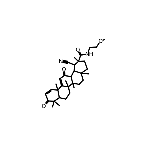 COCCNC(=O)C1(C)CCC2(C)CCC3(C)C(C(=O)C=C4C5(C)C=CC(=O)C(C)(C)C5CCC43C)C2C1C#N